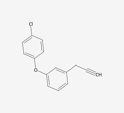 C#C[CH]c1cccc(Oc2ccc(Cl)cc2)c1